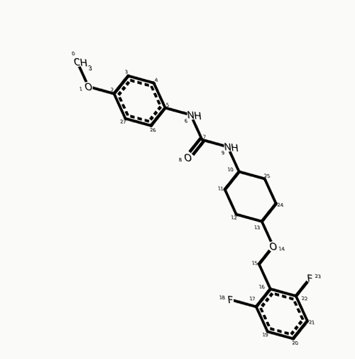 COc1ccc(NC(=O)NC2CCC(OCc3c(F)cccc3F)CC2)cc1